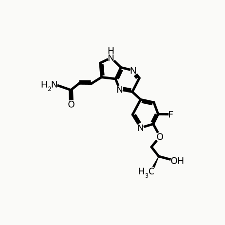 C[C@H](O)COc1ncc(-c2cnc3[nH]cc(/C=C/C(N)=O)c3n2)cc1F